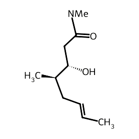 C/C=C/C[C@@H](C)[C@@H](O)CC(=O)NC